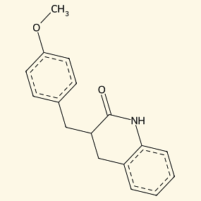 COc1ccc(CC2Cc3ccccc3NC2=O)cc1